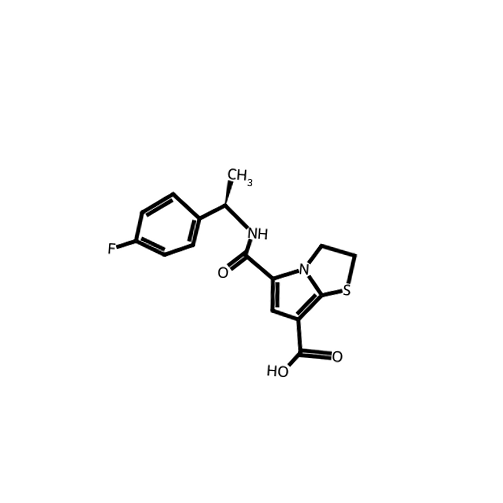 C[C@@H](NC(=O)c1cc(C(=O)O)c2n1CCS2)c1ccc(F)cc1